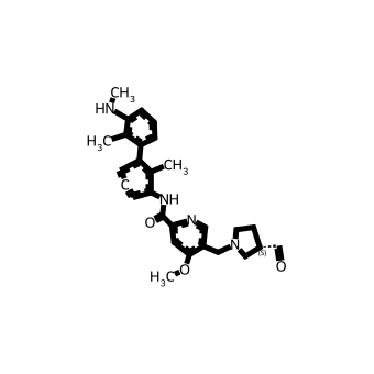 CNc1cccc(-c2cccc(NC(=O)c3cc(OC)c(CN4CC[C@H](C=O)C4)cn3)c2C)c1C